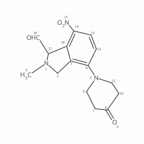 CN1Cc2c(N3CCC(=O)CC3)ccc([N+](=O)[O-])c2C1C=O